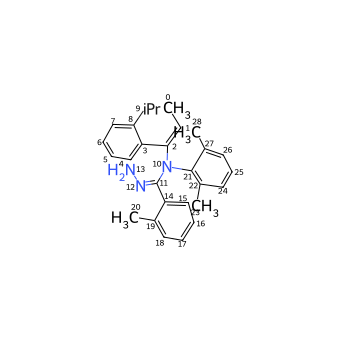 C/C=C(\c1ccccc1C(C)C)N(/C(=N\N)c1ccccc1C)c1c(C)cccc1C